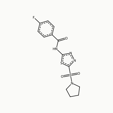 O=C(Nc1nnc(S(=O)(=O)N2CCCC2)s1)c1ccc(F)cc1